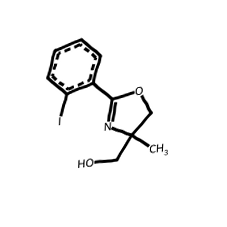 CC1(CO)COC(c2ccccc2I)=N1